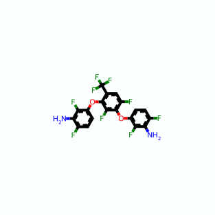 Nc1c(F)ccc(Oc2c(F)cc(C(F)(F)F)c(Oc3ccc(F)c(N)c3F)c2F)c1F